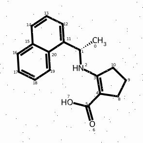 C[C@H](NC1=C(C(=O)O)CCC1)c1cccc2ccccc12